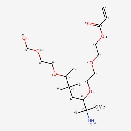 C=CC(=O)OCCOCCOC(CC(C)(C)C(C)OCCOCO)C(C)(N)OC